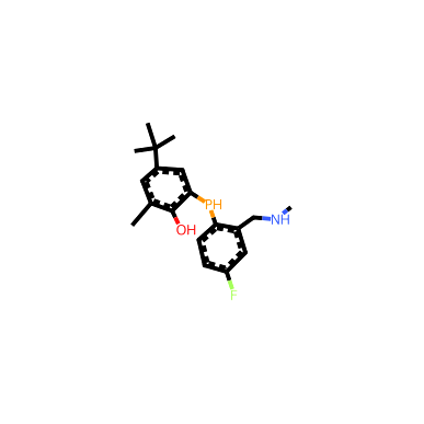 CNCc1cc(F)ccc1Pc1cc(C(C)(C)C)cc(C)c1O